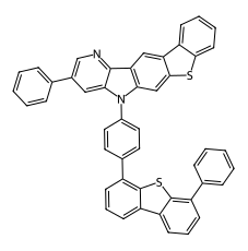 c1ccc(-c2cnc3c4cc5c(cc4n(-c4ccc(-c6cccc7c6sc6c(-c8ccccc8)cccc67)cc4)c3c2)sc2ccccc25)cc1